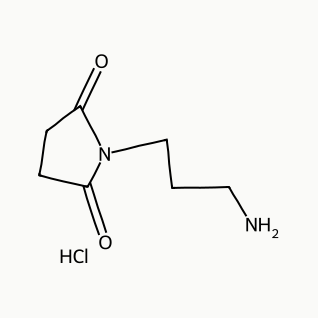 Cl.NCCCN1C(=O)CCC1=O